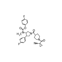 CN(C(=O)Oc1ccc(F)cc1)C1CN(C(=O)C2CCN(C(=O)C3(C#N)CC3)CC2)CC1c1ccc(F)cc1